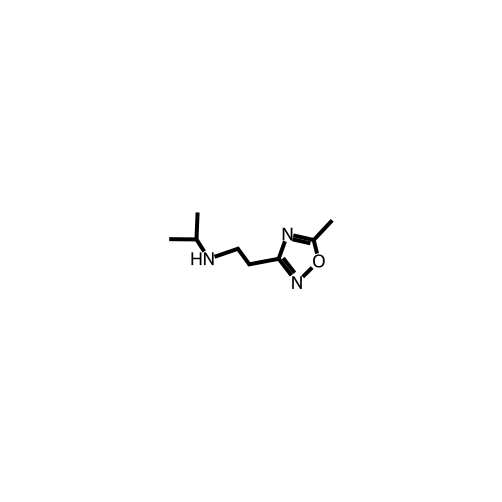 Cc1nc(CCNC(C)C)no1